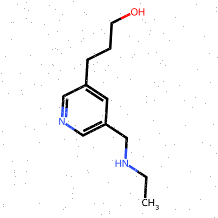 CCNCc1cncc(CCCO)c1